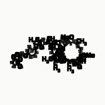 COc1cc2cc(c1Cl)N(C)C(=O)[C@H](OC(=O)[C@H](C)N(C)C(=O)CCSC(=O)N(C)CCN(C)C(=O)OC1/C=C/CC(OCC(=O)ON3C(=O)CCC3=O)CCC1)[C@]1(C)OC1[C@H](C)[C@@H]1C[C@@](O)(NC(=O)O1)[C@H](OC)/C=C/C=C(\C)C2